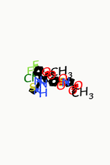 COC(=O)C1=C([C@H]2CC[C@H](S(=O)(=O)N3CC[C@@H](C(=O)OC)C3)CC2)NC(c2nccs2)=NC1c1ccc(F)c(F)c1Cl